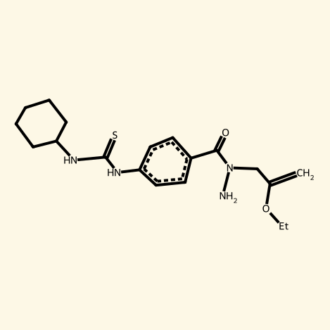 C=C(CN(N)C(=O)c1ccc(NC(=S)NC2CCCCC2)cc1)OCC